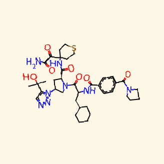 CC(C)(O)c1cnnn1[C@H]1C[C@@H](C(=O)NC2(C(=O)C(N)=O)CCSCC2)N(C(=O)C(CC2CCCCC2)NC(=O)c2ccc(C(=O)N3CCCC3)cc2)C1